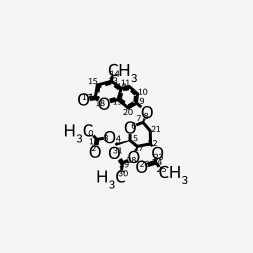 CC(=O)OC[C@H]1O[C@@H](Oc2ccc3c(C)cc(=O)oc3c2)C[C@@H](OC(C)=O)[C@H]1OC(C)=O